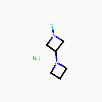 Cl.FN1CC(N2CCC2)C1